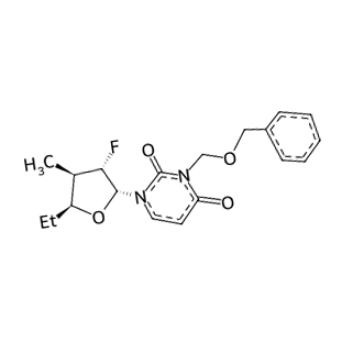 CC[C@@H]1O[C@@H](n2ccc(=O)n(COCc3ccccc3)c2=O)[C@@H](F)[C@@H]1C